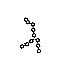 c1ccc(-c2ccc(-c3cccc(N(c4ccc(-c5ccc(-c6cccc(-c7ccc8ccccc8c7)c6)cc5)cc4)c4ccc(-c5ccc6c(c5)sc5ccccc56)cc4)c3)cc2)cc1